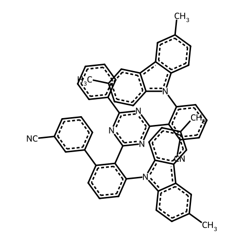 Cc1ccc2c(c1)c1cc(C)ccc1n2-c1cccc(C#N)c1-c1nc(-c2ccccc2)nc(-c2c(-c3cccc(C#N)c3)cccc2-n2c3ccc(C)cc3c3cc(C)ccc32)n1